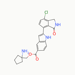 NC1(COC(=O)c2ccc3[nH]c(-c4ccc(Cl)c5c4C(=O)NC5)cc3c2)CCCC1